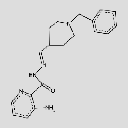 Nc1cccnc1C(=O)NN=CC1CCN(Cc2ccccc2)CC1